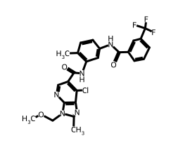 COCn1c(C)nc2c(Cl)c(C(=O)Nc3cc(NC(=O)c4cccc(C(F)(F)F)c4)ccc3C)cnc21